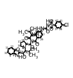 CC(C)[C@@H](C(O)c1nc2ccccc2o1)N1CCC[C@H]1C(=O)N(C(=O)c1ccc(NC(=O)NS(=O)(=O)c2ccc(Cl)cc2)cc1)C(=O)[C@@H](N)C(C)C